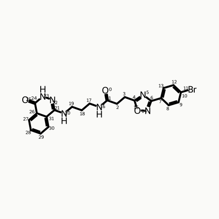 O=C(CCc1nc(-c2ccc(Br)cc2)no1)NCCCNc1n[nH]c(=O)c2ccccc12